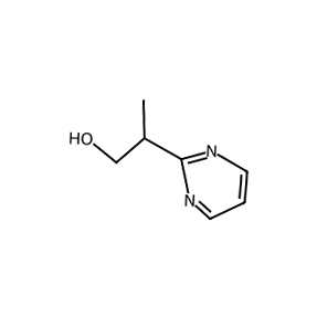 CC(CO)c1ncccn1